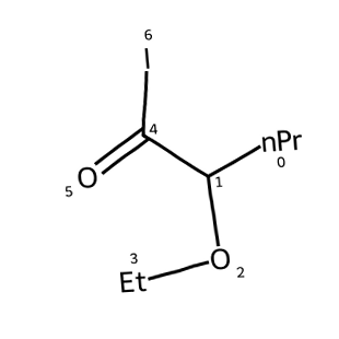 CCCC(OCC)C(=O)I